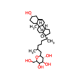 CC(CCCC(C)[C@H]1CC[C@H]2[C@@H]3CC=C4C[C@@H](O)CC[C@]4(C)[C@H]3CC[C@]12C)CC1O[C@H](CO)[C@H](O)[C@H](O)[C@H]1O